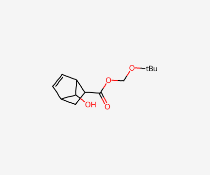 CC(C)(C)OCOC(=O)C1CC2C=CC1C2O